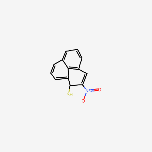 O=[N+]([O-])C1=Cc2cccc3cccc(c23)C1S